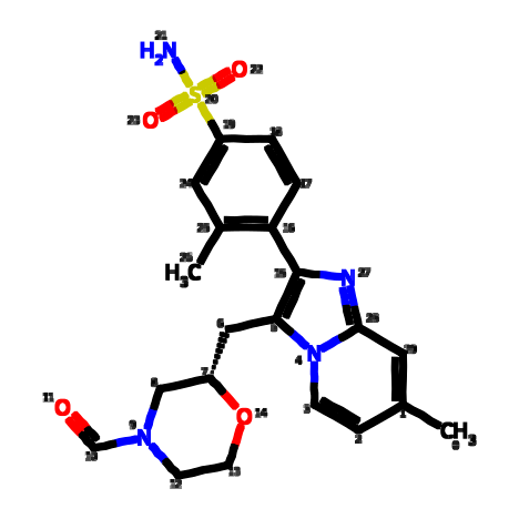 Cc1ccn2c(C[C@H]3CN([C]=O)CCO3)c(-c3ccc(S(N)(=O)=O)cc3C)nc2c1